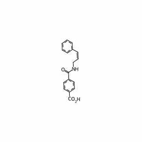 O=C(O)c1ccc(C(=O)NC/C=C\c2ccccc2)cc1